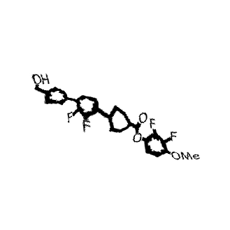 COc1ccc(OC(=O)C2CCC(c3ccc(-c4ccc(CO)cc4)c(F)c3F)CC2)c(F)c1F